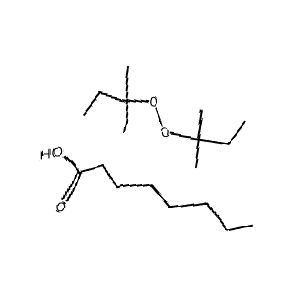 CCC(C)(C)OOC(C)(C)CC.CCCCCCCC(=O)O